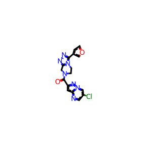 O=C(c1cc2ncc(Cl)cn2n1)N1CCn2c(nnc2-c2ccoc2)C1